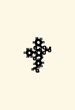 COC(=O)Oc1c(Cc2ccc(C(C)=O)cc2)c(=O)n(-c2ccccc2)c(=O)n1Cc1ccccc1